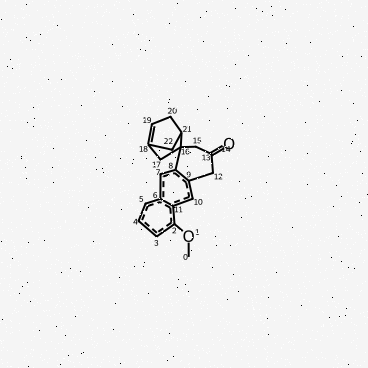 COc1cccc2cc3c(cc12)CC(=O)CC31CC2=CCC1C2